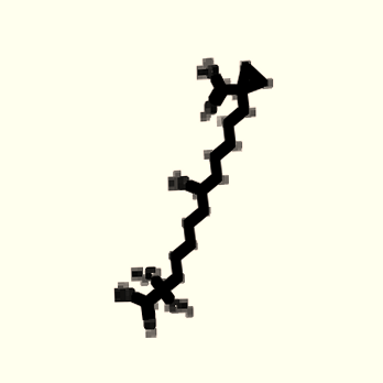 CC(C)(CCCCCC(O)CCCCCC1(C(=O)O)CC1)C(=O)O